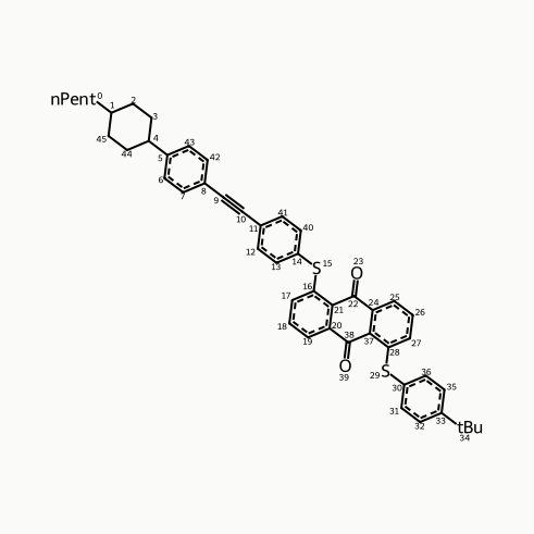 CCCCCC1CCC(c2ccc(C#Cc3ccc(Sc4cccc5c4C(=O)c4cccc(Sc6ccc(C(C)(C)C)cc6)c4C5=O)cc3)cc2)CC1